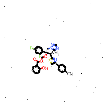 C[C@@H](c1nc(-c2ccc(C#N)cc2)cs1)[C@@](Cn1cncn1)(OCOC(=O)c1ccccc1O)c1ccc(F)cc1F